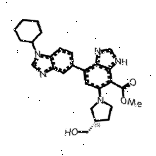 COC(=O)c1c(N2CC[C@H](CO)C2)cc(-c2ccc3c(c2)ncn3C2CCCCC2)c2nc[nH]c12